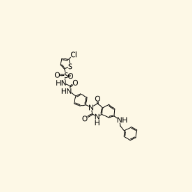 O=C(Nc1ccc(-n2c(=O)[nH]c3cc(NCc4ccccc4)ccc3c2=O)cc1)NS(=O)(=O)c1ccc(Cl)s1